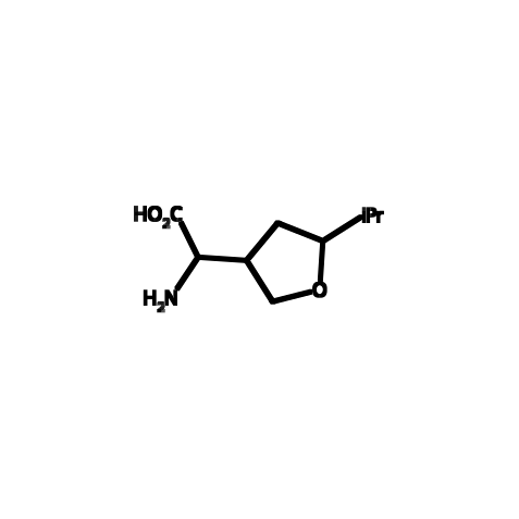 CC(C)C1CC(C(N)C(=O)O)CO1